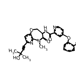 CN1C(=O)C(NC(=O)c2cc(Oc3ccccc3F)ccn2)COc2ccc(C#CC(C)(C)O)nc21